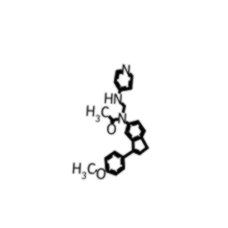 COc1ccc(C2=CCc3ccc(N(CNc4ccncc4)C(C)=O)cc32)cc1